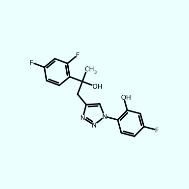 CC(O)(Cc1cn(-c2ccc(F)cc2O)nn1)c1ccc(F)cc1F